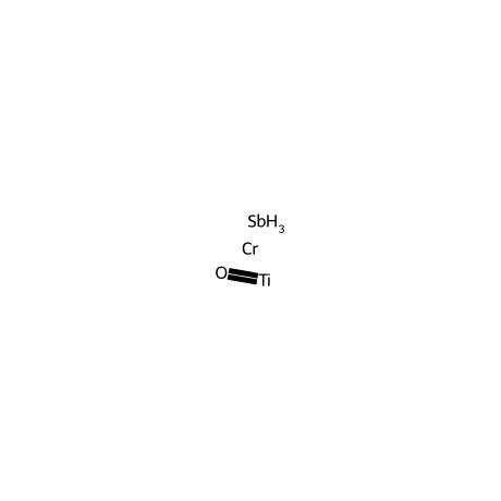 [Cr].[O]=[Ti].[SbH3]